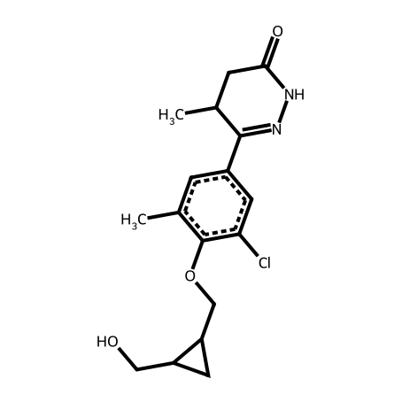 Cc1cc(C2=NNC(=O)CC2C)cc(Cl)c1OCC1CC1CO